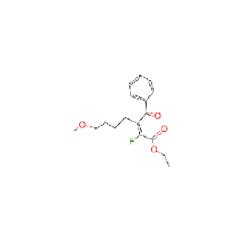 CCOC(=O)/C(F)=C(/CCCCOC)C(=O)c1ccccc1